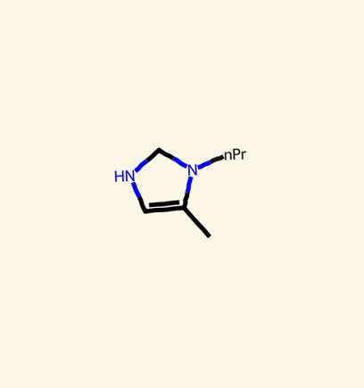 [CH2]CCN1CNC=C1C